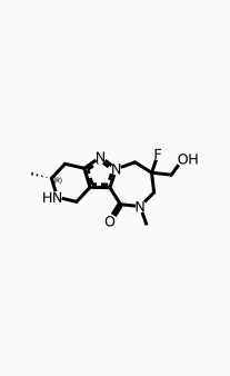 C[C@@H]1Cc2nn3c(c2CN1)C(=O)N(C)CC(F)(CO)C3